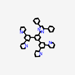 c1ccc(-c2cc(-c3ccccc3)nc(-c3cc(-c4cc(-c5ccccn5)cc(-c5ccccn5)c4)cc(-c4cc(-c5ccccn5)cc(-c5ccccn5)c4)c3)n2)cc1